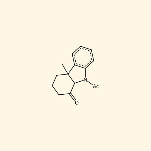 CC(=O)N1c2ccccc2C2(C)CCCC(=O)C12